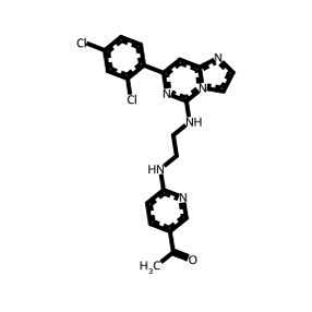 CC(=O)c1ccc(NCCNc2nc(-c3ccc(Cl)cc3Cl)cc3nccn23)nc1